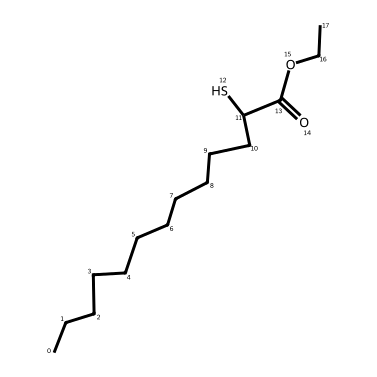 CCCCCCCCCCCC(S)C(=O)OCC